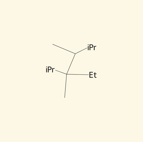 [CH2]C(C)C(C)(CC)C(C)C(C)C